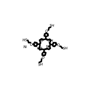 SCCCOc1ccc(-c2c3nc(c(-c4ccc(OCCCS)cc4)c4ccc([nH]4)c(-c4ccc(OCCCS)cc4)c4nc(c(-c5ccc(OCCCS)cc5)c5ccc2[nH]5)C=C4)C=C3)cc1.[Ni]